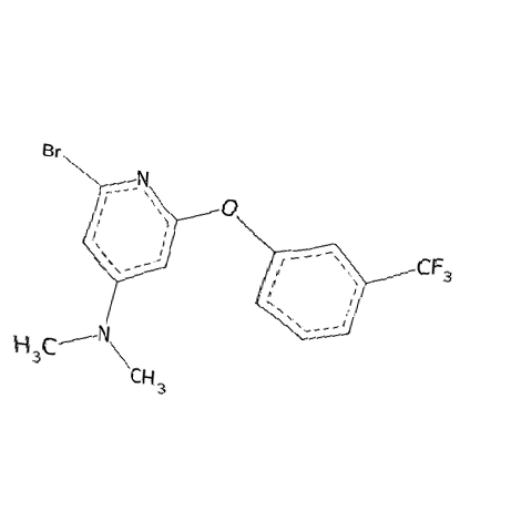 CN(C)c1cc(Br)nc(Oc2cccc(C(F)(F)F)c2)c1